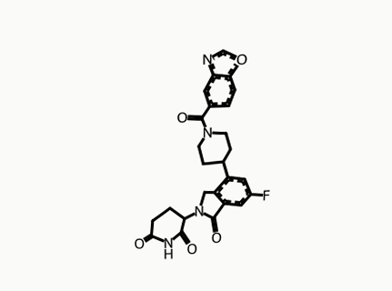 O=C1CCC(N2Cc3c(cc(F)cc3C3CCN(C(=O)c4ccc5ocnc5c4)CC3)C2=O)C(=O)N1